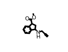 C#CCNC1CC(C(=O)OC)c2ccccc21